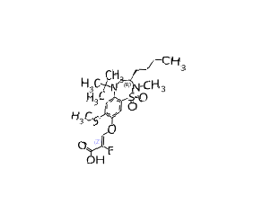 CCCC[C@@H]1CN(C(C)(C)C)c2cc(SC)c(O/C=C(\F)C(=O)O)cc2S(=O)(=O)N1C